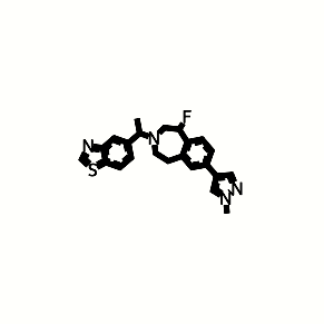 CC(c1ccc2scnc2c1)N1CCc2cc(-c3cnn(C)c3)ccc2C(F)C1